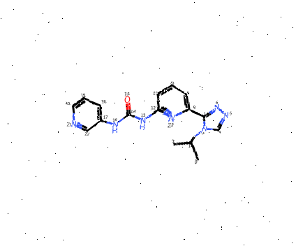 CC(C)n1cnnc1-c1cccc(NC(=O)Nc2cccnc2)n1